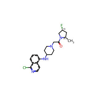 C[C@@H]1C[C@H](F)CN1C(=O)CN1CCC(Nc2cccc3c(Cl)nccc23)CC1